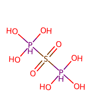 O=S(=O)([PH](O)(O)O)[PH](O)(O)O